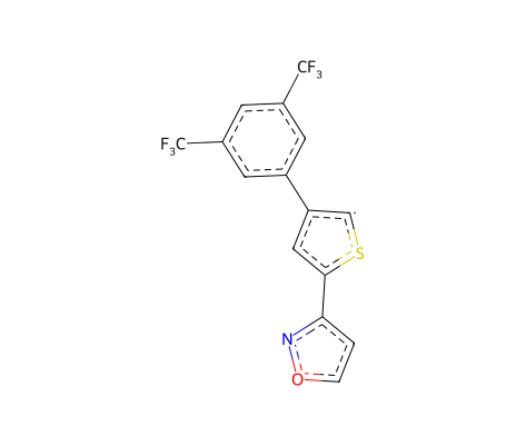 FC(F)(F)c1cc(-c2[c]sc(-c3ccon3)c2)cc(C(F)(F)F)c1